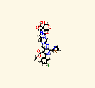 CCOC(=O)C1=C(CN2CCN3C(=O)N(CC4(C(=O)O)CCOCC4)C[C@]3(C)C2)NC(c2nccs2)=N[C@H]1c1cccc(F)c1C